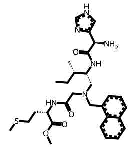 CC[C@H](C)[C@@H](CN(CC(=O)N[C@@H](CCSC)C(=O)OC)Cc1cccc2ccccc12)NC(=O)[C@H](N)c1c[nH]cn1